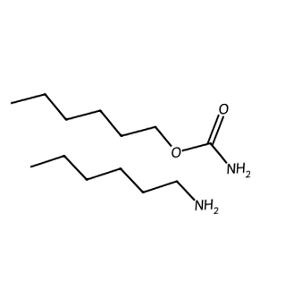 CCCCCCN.CCCCCCOC(N)=O